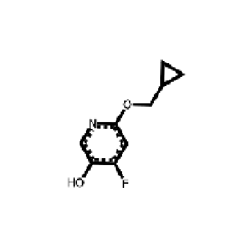 Oc1cnc(OCC2CC2)cc1F